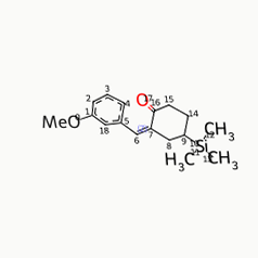 COc1cccc(/C=C2/CC([Si](C)(C)C)CCC2=O)c1